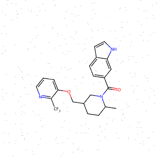 CC1CCC(COc2cccnc2C(F)(F)F)CN1C(=O)c1ccc2cc[nH]c2c1